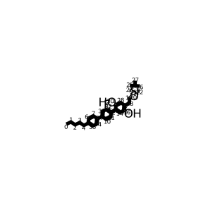 CCCCCc1ccc(-c2ccc(-c3cc(O)c(CCO[Si](C)(C)C(C)(C)C)cc3O)c(F)c2)cc1